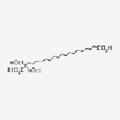 CCCCCCCCC(CCCCCCCC)(CCCCCCCCCCCCCCCCCC(=O)O)C(=O)OCC